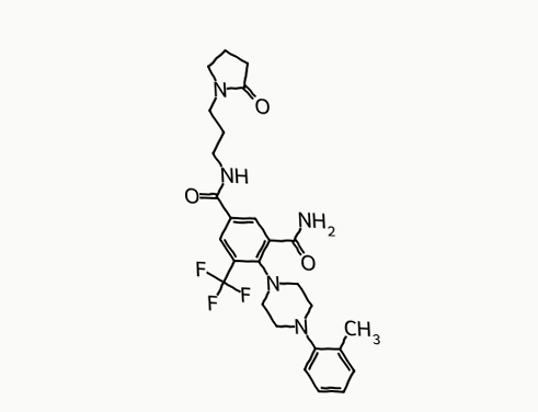 Cc1ccccc1N1CCN(c2c(C(N)=O)cc(C(=O)NCCCN3CCCC3=O)cc2C(F)(F)F)CC1